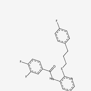 O=C(Nc1cccnc1SCCCc1ccc(F)cc1)c1ccc(F)c(F)c1